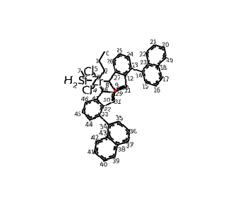 CC[CH2][Zr]([Cl])([Cl])([SiH2]C)([CH]1C(C)=Cc2c(-c3cccc4ccccc34)cccc21)[CH]1C(C)=Cc2c(-c3cccc4ccccc34)cccc21